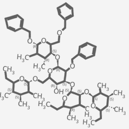 CCC1O[C@@H](O[C@@H]2C(OCc3ccccc3)[C@H](O[C@@H]3C(COCc4ccccc4)O[C@@H](OCc4ccccc4)C(C)[C@H]3C)OC(CO[C@H]3OC(CC)[C@@H](C)[C@H](C)C3C)[C@H]2O)[C@@H](O[C@@H]2OC(CC)[C@@H](C)[C@H](C)C2C)C(C)[C@H]1C